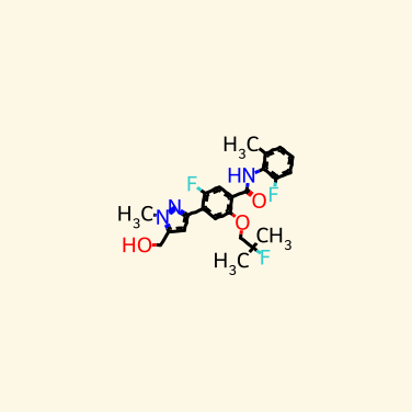 Cc1cccc(F)c1NC(=O)c1cc(F)c(-c2cc(CO)n(C)n2)cc1OCC(C)(C)F